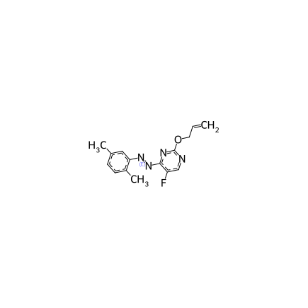 C=CCOc1ncc(F)c(/N=N/c2cc(C)ccc2C)n1